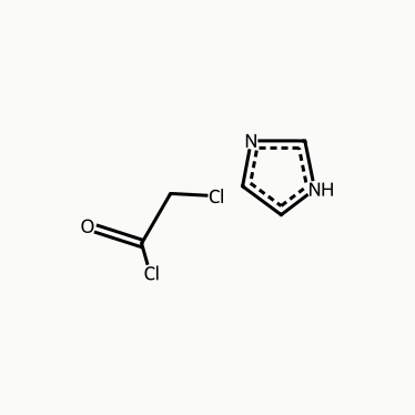 O=C(Cl)CCl.c1c[nH]cn1